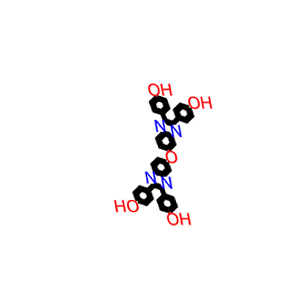 Oc1ccc(-c2nc3ccc(Oc4ccc5nc(-c6ccc(O)cc6)c(-c6ccc(O)cc6)nc5c4)cc3nc2-c2ccc(O)cc2)cc1